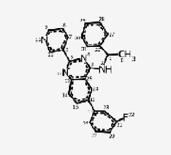 CC(Nc1nc(-c2cccnc2)nc2ccc(-c3cccc(F)c3)cc12)c1ccccc1